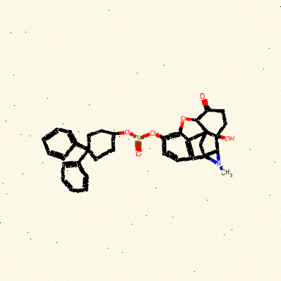 CN1C2C13CC14c5c3ccc(OS(=O)OC3CCC(c6ccccc6)(c6ccccc6)CC3)c5OC1C(=O)CCC24O